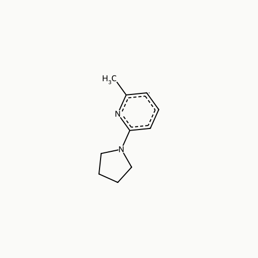 Cc1[c]ccc(N2CCCC2)n1